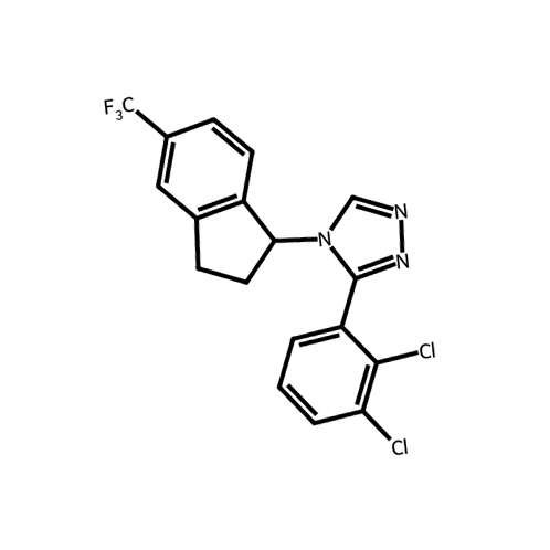 FC(F)(F)c1ccc2c(c1)CCC2n1cnnc1-c1cccc(Cl)c1Cl